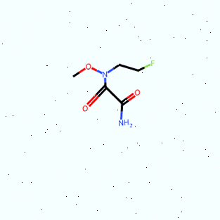 CON(CCF)C(=O)C(N)=O